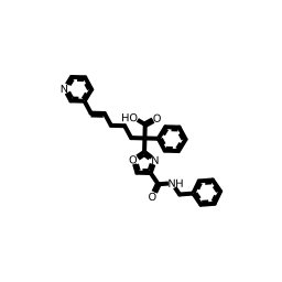 O=C(NCc1ccccc1)c1coc(C(CCCC=Cc2cccnc2)(C(=O)O)c2ccccc2)n1